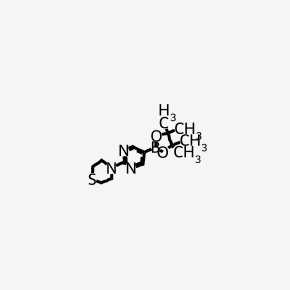 CC1(C)OB(c2cnc(N3CCSCC3)nc2)OC1(C)C